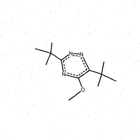 COc1nc(C(C)(C)C)nnc1C(C)(C)C